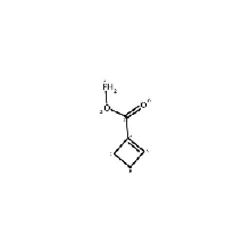 O=C(OP)C1=CCC1